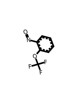 O=Nc1ccccc1OC(F)(F)F